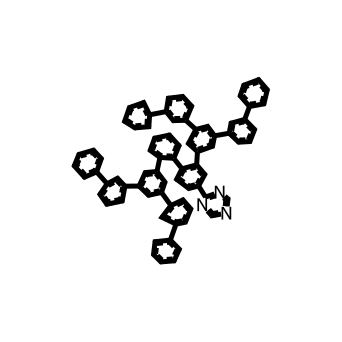 c1ccc(-c2cccc(-c3cc(-c4cccc(-c5ccccc5)c4)cc(-c4ccccc4-c4ccc(-c5ncncn5)cc4-c4cc(-c5cccc(-c6ccccc6)c5)cc(-c5cccc(-c6ccccc6)c5)c4)c3)c2)cc1